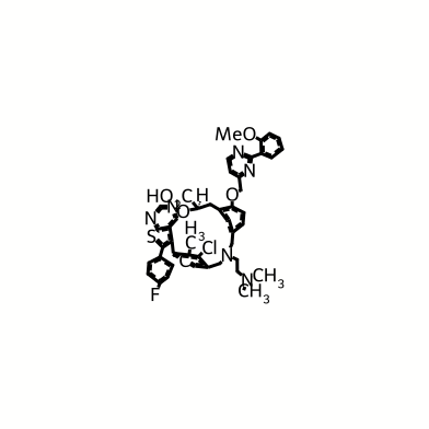 COc1ccccc1-c1nccc(COc2ccc3cc2C[C@H](C(=O)O)Oc2ncnc4sc(-c5ccc(F)cc5)c(c24)-c2ccc(c(Cl)c2C)CN(CCN(C)C)C3)n1